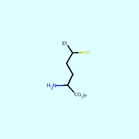 CCC(S)CCC(N)C(=O)O